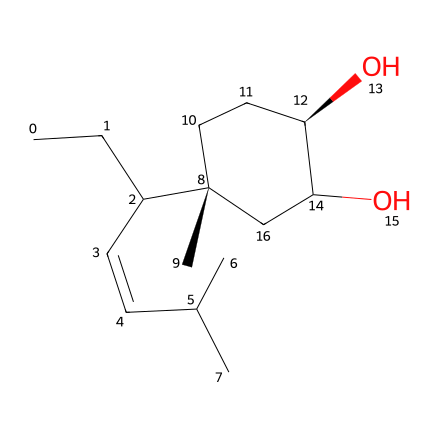 CCC(/C=C\C(C)C)[C@]1(C)CC[C@@H](O)C(O)C1